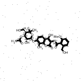 COc1cccc(CO)c1C(=O)Nc1c(O)c2ccc(O[C@@H]3OC(C)(C)[C@H](CO)[C@@H](OC(N)=O)[C@H]3O)c(C)c2oc1=O